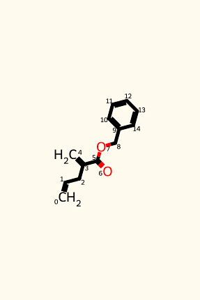 C=CCC(=C)C(=O)OCc1ccccc1